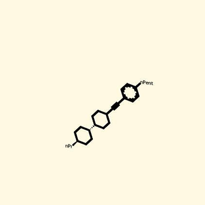 CCCCCc1ccc(C#CC2CCC([C@H]3CC[C@H](CCC)CC3)CC2)cc1